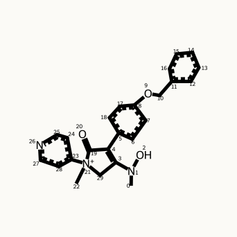 CN(O)C1=C(c2ccc(OCc3ccccc3)cc2)C(=O)[N+](C)(c2ccncc2)C1